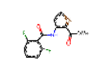 COC(=O)c1sccc1NC(=O)c1c(F)cccc1F